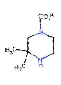 CC1(C)CN(C(=O)O)CCN1